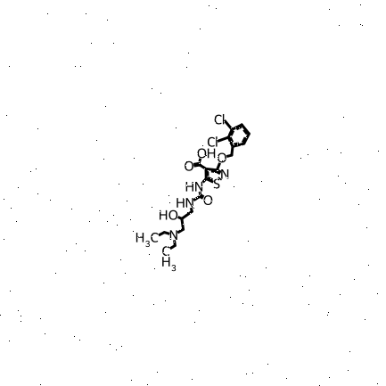 CCN(CC)CC(O)CNC(=O)Nc1snc(OCc2cccc(Cl)c2Cl)c1C(=O)O